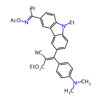 CCOC(=O)C(C#N)=C(c1ccc(N(C)C)cc1)c1ccc2c(c1)c1cc(C(=NOC(C)=O)C(C)C)ccc1n2CC